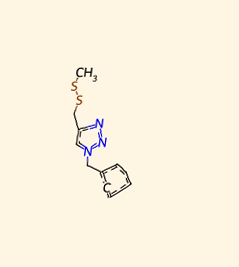 CSSCc1cn(Cc2ccccc2)nn1